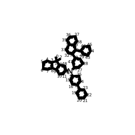 CC1(C)c2ccccc2-c2ccc(N(c3ccc(-c4ccccc4)cc3)c3cccc(-c4ccc5ccccc5c4-c4ccccc4)c3)cc21